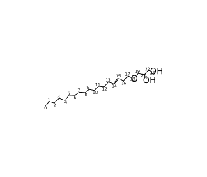 CCCCCCCCCCCCCCC=CCCOCC(O)CO